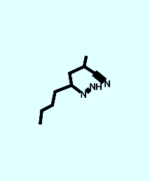 CCCCC(CC(C)C#N)N=N